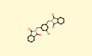 O=C1c2ccccc2C(=O)N1Cc1cc(Br)cc(CN2C(=O)c3ccccc3C2=O)c1